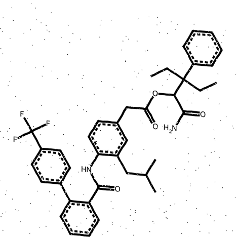 CCC(CC)(c1ccccc1)C(OC(=O)Cc1ccc(NC(=O)c2ccccc2-c2ccc(C(F)(F)F)cc2)c(CC(C)C)c1)C(N)=O